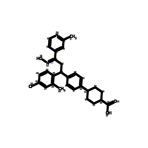 Cc1cc(/C(CC(c2ccc(C3CCC(C(=O)O)CC3)cc2)c2ccc(Cl)cc2C)=N\O)ccn1